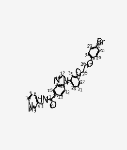 O=C(NCc1cccnc1)c1ccc2c(c1)ncn2-c1cccc(OCCOc2ccc(Br)cc2)c1